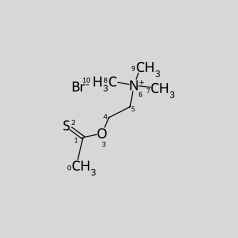 CC(=S)OCC[N+](C)(C)C.[Br-]